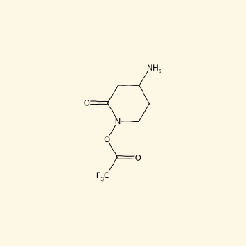 NC1CCN(OC(=O)C(F)(F)F)C(=O)C1